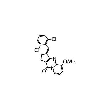 COc1cccn2c(=O)c3c(nc12)C(=Cc1c(Cl)cccc1Cl)CC3